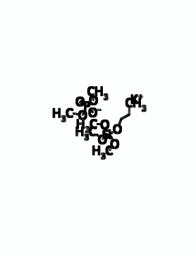 CCCO[Si](OC)(OC)OC.COP(=O)([O-])OC.[K+]